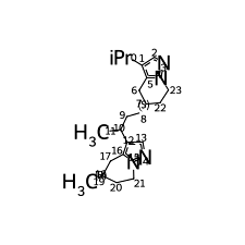 CC(C)c1cnn2c1C[C@@H](CCC(C)c1cnn3c1C[C@H](C)CC3)CC2